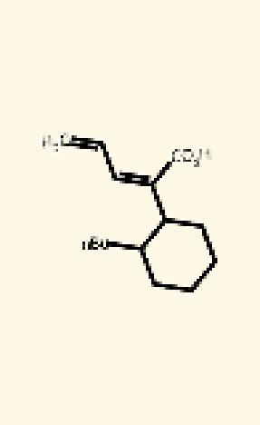 C=CC=C(C(=O)O)C1CCCCC1CCCC